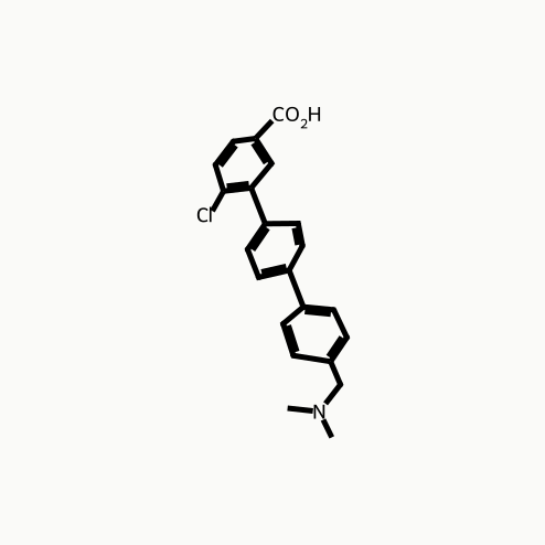 CN(C)Cc1ccc(-c2ccc(-c3cc(C(=O)O)ccc3Cl)cc2)cc1